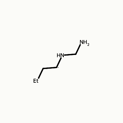 CCC[CH]NCN